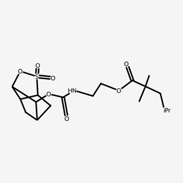 CC(C)CC(C)(C)C(=O)OCCNC(=O)OC1C2CC3C1OS(=O)(=O)C3C2